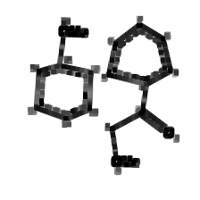 COCC(=O)c1ccccc1.COc1ccccc1